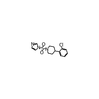 O=S(=O)(N1CCC(c2ccccc2Cl)CC1)n1ccnc1